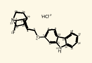 Cl.FC1C(=CCOc2ccc3c(c2)[nH]c2ccccc23)C2CCN1CC2